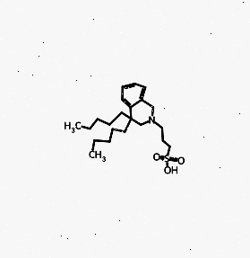 CCCCCC1(CCCCC)CN(CCCS(=O)(=O)O)Cc2ccccc21